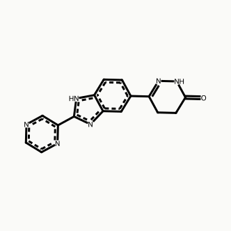 O=C1CCC(c2ccc3[nH]c(-c4cnccn4)nc3c2)=NN1